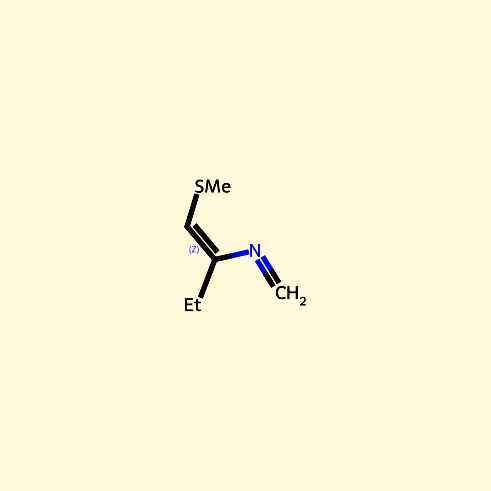 C=N/C(=C\SC)CC